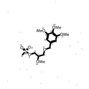 COc1cc(COCC(COS(C)(=O)=O)OC)cc(OC)c1OC